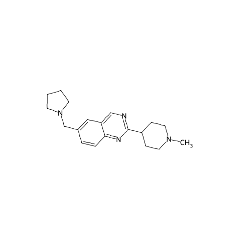 CN1CCC(c2ncc3cc(CN4CCCC4)ccc3n2)CC1